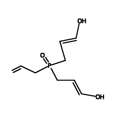 C=CCP(=O)(CC=CO)CC=CO